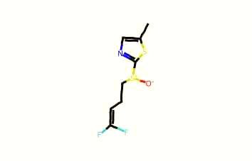 Cc1cnc([S+]([O-])CCC=C(F)F)s1